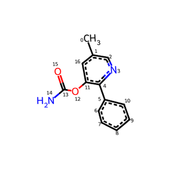 Cc1cnc(-c2ccccc2)c(OC(N)=O)c1